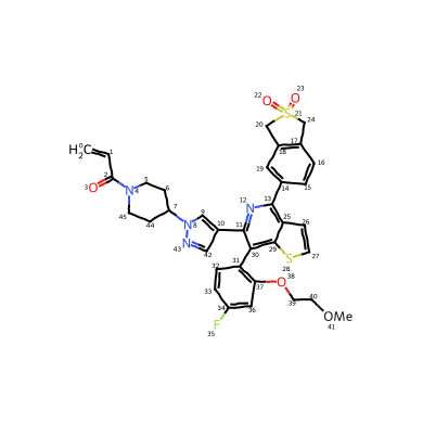 C=CC(=O)N1CCC(n2cc(-c3nc(-c4ccc5c(c4)CS(=O)(=O)C5)c4ccsc4c3-c3ccc(F)cc3OCCOC)cn2)CC1